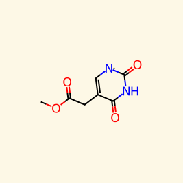 COC(=O)CC1=C[N]C(=O)NC1=O